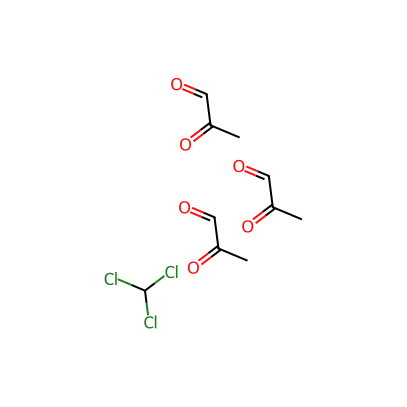 CC(=O)C=O.CC(=O)C=O.CC(=O)C=O.ClC(Cl)Cl